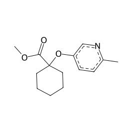 COC(=O)C1(Oc2ccc(C)nc2)CCCCC1